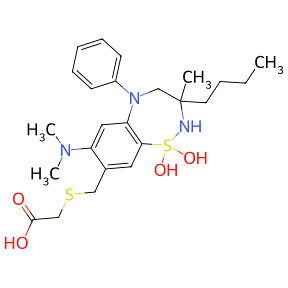 CCCCC1(C)CN(c2ccccc2)c2cc(N(C)C)c(CSCC(=O)O)cc2S(O)(O)N1